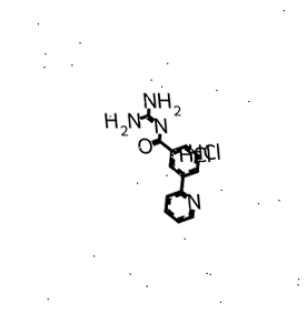 Cl.Cl.NC(N)=NC(=O)c1cccc(-c2ccccn2)c1